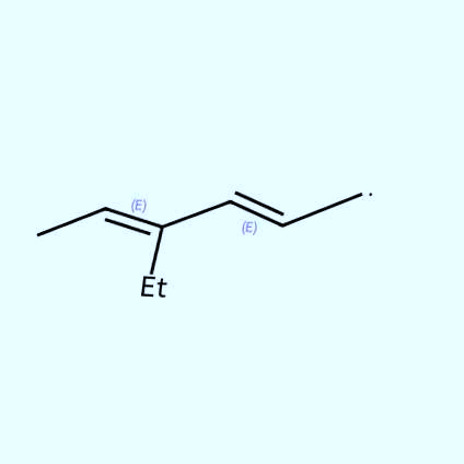 [CH2]/C=C/C(=C/C)CC